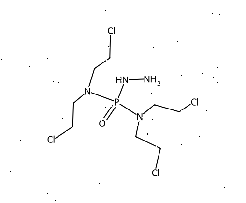 NNP(=O)(N(CCCl)CCCl)N(CCCl)CCCl